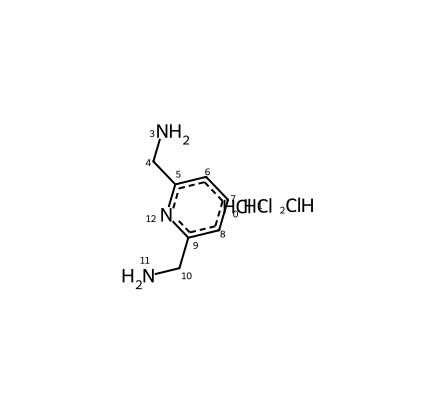 Cl.Cl.Cl.NCc1cccc(CN)n1